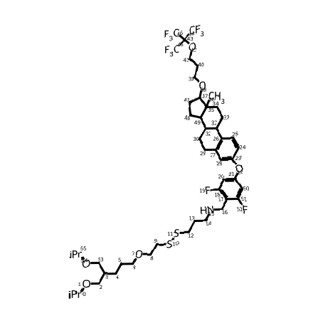 CC(C)OCC(CCCOCCSSCCCNCc1c(F)cc(Oc2ccc3c(c2)CCC2C3CCC3(C)C(OCCCOC(C(F)(F)F)(C(F)(F)F)C(F)(F)F)CCC23)cc1F)COC(C)C